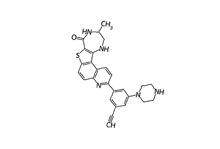 C#Cc1cc(-c2ccc3c(ccc4sc5c(c43)NCC(C)NC5=O)n2)cc(N2CCNCC2)c1